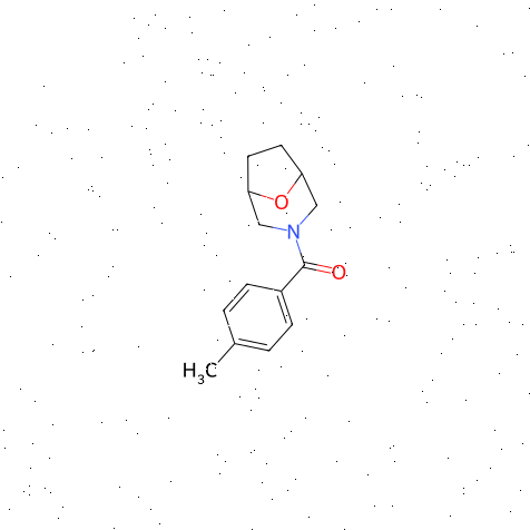 Cc1ccc(C(=O)N2CC3CCC(C2)O3)cc1